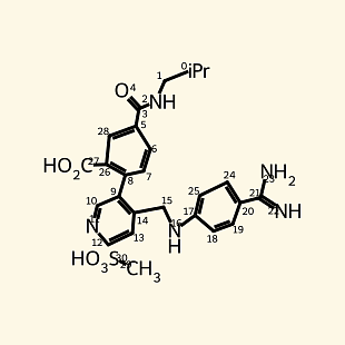 CC(C)CNC(=O)c1ccc(-c2cnccc2CNc2ccc(C(=N)N)cc2)c(C(=O)O)c1.CS(=O)(=O)O